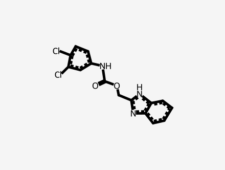 O=C(Nc1ccc(Cl)c(Cl)c1)OCc1nc2ccccc2[nH]1